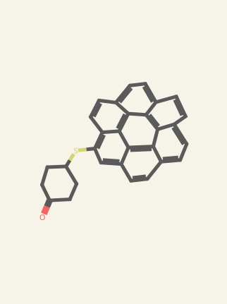 O=C1CCC(Sc2cc3ccc4ccc5ccc6ccc7ccc2c2c7c6c5c4c32)CC1